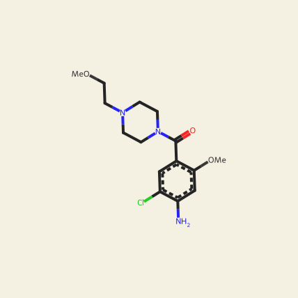 COCCN1CCN(C(=O)c2cc(Cl)c(N)cc2OC)CC1